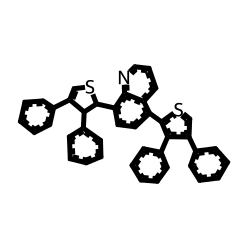 C1=C(c2ccccc2)C(c2ccccc2)C(c2ccc(-c3scc(-c4ccccc4)c3-c3ccccc3)c3cccnc23)S1